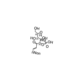 CCCCCCCCCC=CC(=O)[C@H](OP(=O)(O)O)[C@@H](O)[C@H](O)[C@H](O)CO